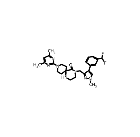 Cc1cc(C)nc(N2CCC3(CC2)NCCN(Cc2nn(C)cc2-c2cccc(C(F)F)c2)C3=O)n1